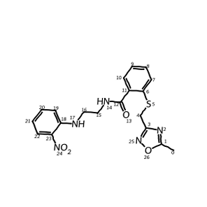 Cc1nc(CSc2ccccc2C(=O)NCCNc2ccccc2[N+](=O)[O-])no1